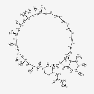 CNC(=O)N[C@@H]1CC[C@@]2(O)C[C@@H](O)C[C@@H](O)[C@H](O)CC[C@@H](O)C[C@@H](O)CC(=O)O[C@@H](C)[C@H](C)[C@H](O)[C@@H](C)/C=C/C=C/C=C/C=C/C=C/C=C/C=C/[C@H](OC3OC(C)C(O)C(N)C3O)C[C@@H]1O2